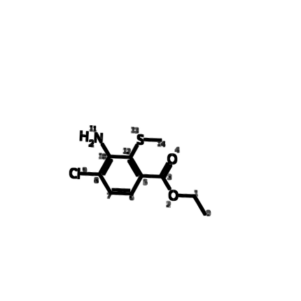 CCOC(=O)c1ccc(Cl)c(N)c1SC